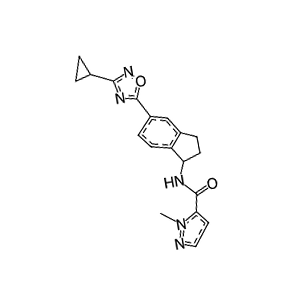 Cn1nccc1C(=O)NC1CCc2cc(-c3nc(C4CC4)no3)ccc21